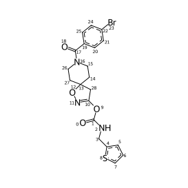 O=C(NCc1cccs1)OC1=NOC2(CCN(C(=O)c3ccc(Br)cc3)CC2)C1